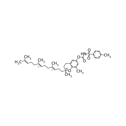 CC(C)=CCC/C(C)=C/CC/C(C)=C/CC[C@]1(C)CCc2cc(OC(=O)NS(=O)(=O)c3ccc(C)cc3)cc(C)c2O1